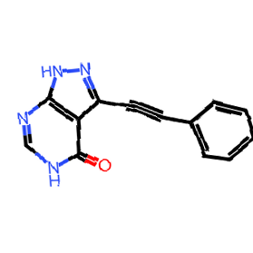 O=c1[nH]cnc2[nH]nc(C#Cc3ccccc3)c12